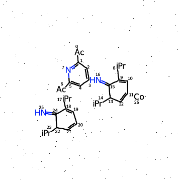 CC(=O)c1cccc(C(C)=O)n1.CC(C)C1=CC=CC(C(C)C)C1=N.CC(C)C1=CC=CC(C(C)C)C1=N.[Co]